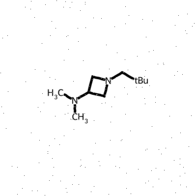 CN(C)C1CN(CC(C)(C)C)C1